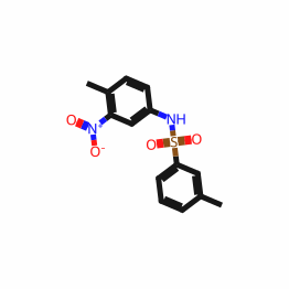 Cc1cccc(S(=O)(=O)Nc2ccc(C)c([N+](=O)[O-])c2)c1